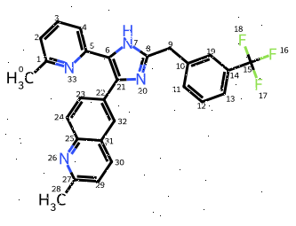 Cc1cccc(-c2[nH]c(Cc3cccc(C(F)(F)F)c3)nc2-c2ccc3nc(C)ccc3c2)n1